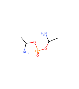 CC(N)O[PH](=O)OC(C)N